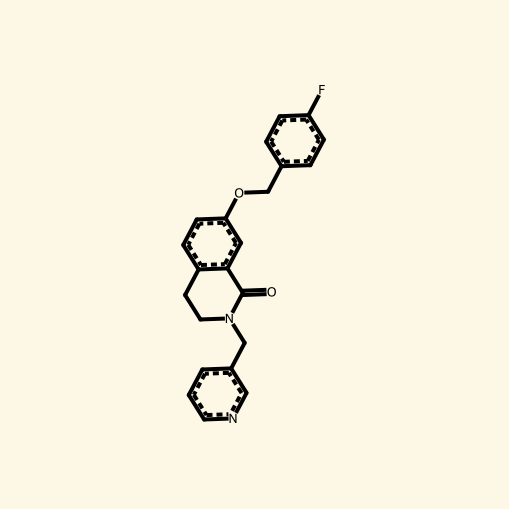 O=C1c2cc(OCc3ccc(F)cc3)ccc2CCN1Cc1cccnc1